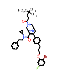 CC(C)(CCC(=O)N1CC2CC(c3ccc(CCCOc4cc(F)ccc4Br)cc3)=C(C(=O)N(CCc3ccccc3)C3CC3)C(C1)N2)C(=O)O